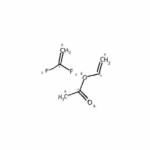 C=C(F)F.C=COC(C)=O